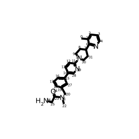 Cc1cccnc1C1CCN(c2ccc(-c3cccc(CN(C)C(=O)CN)c3)cn2)CC1